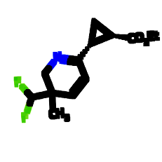 CCOC(=O)[C@H]1C[C@H]1C1=NCC(C)(C(F)F)C=C1